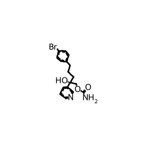 NC(=O)OC[C@@](O)(CCCc1ccc(Br)cc1)c1cccnc1